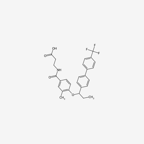 CCC(Oc1ccc(C(=O)NCCC(=O)O)cc1C)c1ccc(-c2ccc(C(F)(F)F)cc2)cc1